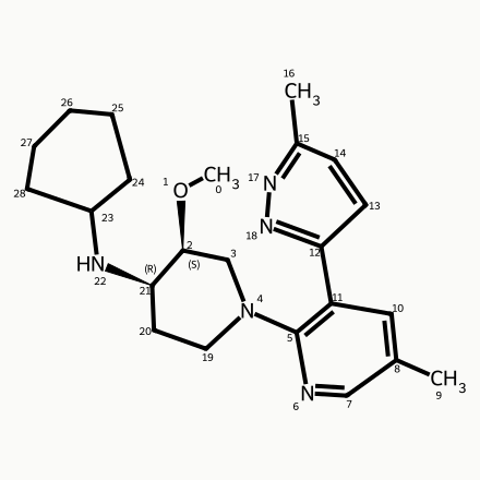 CO[C@H]1CN(c2ncc(C)cc2-c2ccc(C)nn2)CC[C@H]1NC1CCCCC1